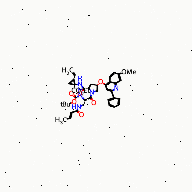 C=C[C@@H]1C[C@]1(NC(=O)[C@@H]1CC(Oc2cc(-c3ccccc3)nc3cc(OC)ccc23)CN1C(=O)[C@H](CNC(=O)/C=C/C)NC(=O)OC(C)(C)C)C(=O)OCC